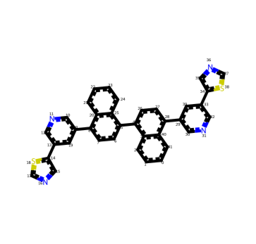 c1ccc2c(-c3ccc(-c4cncc(-c5cncs5)c4)c4ccccc34)ccc(-c3cncc(-c4cncs4)c3)c2c1